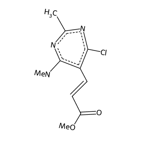 CNc1nc(C)nc(Cl)c1C=CC(=O)OC